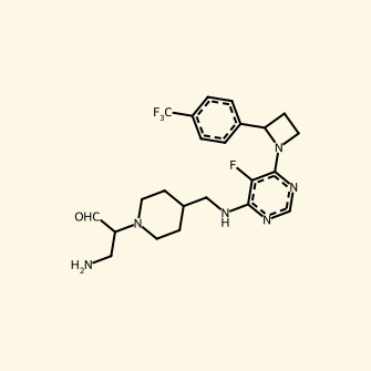 NCC(C=O)N1CCC(CNc2ncnc(N3CCC3c3ccc(C(F)(F)F)cc3)c2F)CC1